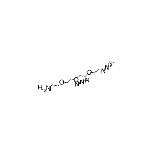 [N-]=[N+]=NCCOCCOCCOCCN.[N-]=[N+]=[N-]